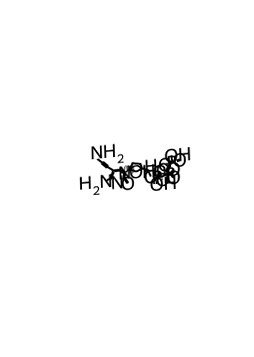 NCC#Cc1cn([C@H]2CCC(COP(=O)(O)OP(=O)(O)OP(=O)(O)O)O2)c(=O)nc1N